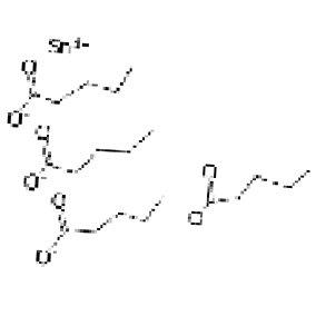 CCCCC(=O)[O-].CCCCC(=O)[O-].CCCCC(=O)[O-].CCCCC(=O)[O-].[Sn+4]